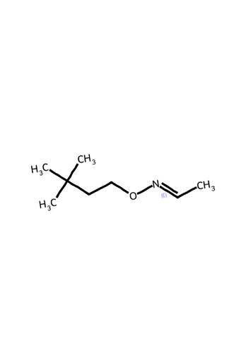 C/C=N/OCCC(C)(C)C